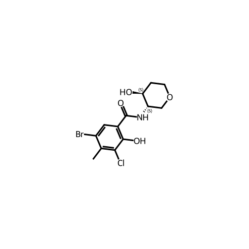 Cc1c(Br)cc(C(=O)N[C@H]2COCC[C@@H]2O)c(O)c1Cl